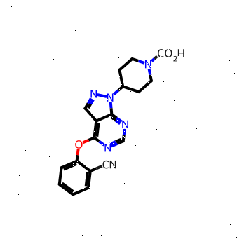 N#Cc1ccccc1Oc1ncnc2c1cnn2C1CCN(C(=O)O)CC1